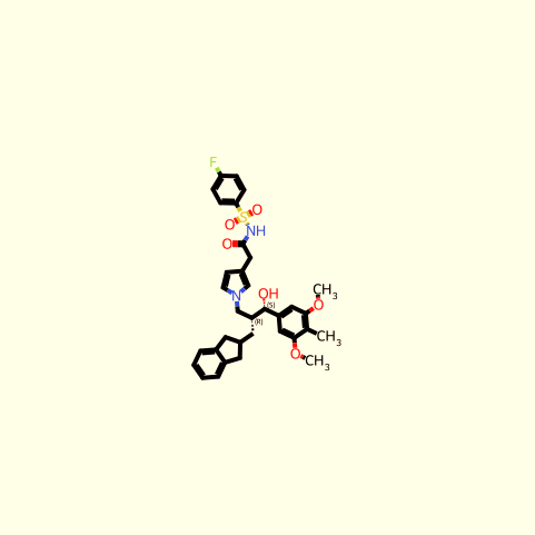 COc1cc([C@@H](O)[C@H](CC2Cc3ccccc3C2)Cn2ccc(CC(=O)NS(=O)(=O)c3ccc(F)cc3)c2)cc(OC)c1C